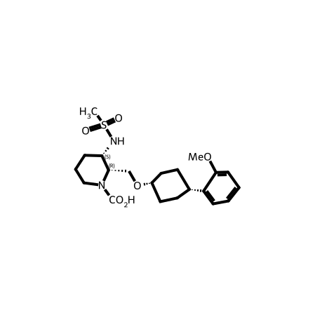 COc1ccccc1[C@H]1CC[C@@H](OC[C@H]2[C@@H](NS(C)(=O)=O)CCCN2C(=O)O)CC1